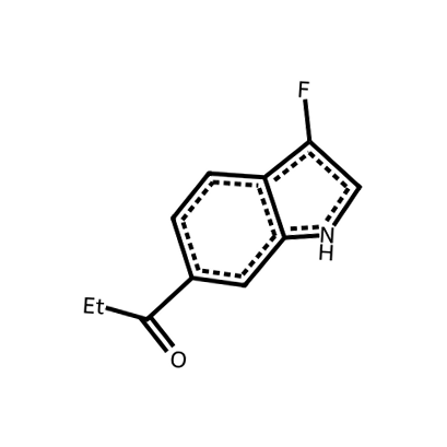 CCC(=O)c1ccc2c(F)c[nH]c2c1